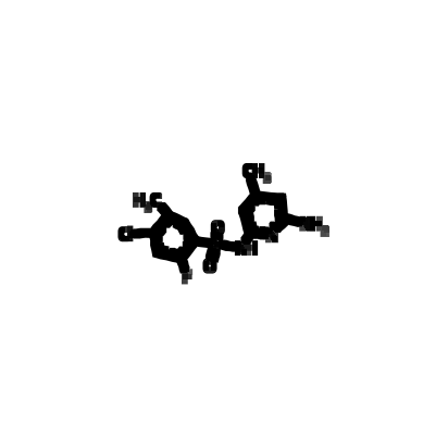 Cc1cc(N)nc(NS(=O)(=O)c2cc(C)c(Cl)cc2F)c1